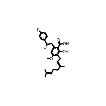 COc1cc(CC(=O)c2ccc(F)cc2)c(C(=O)O)c(O)c1C/C=C(\C)CCC=C(C)C